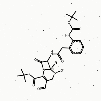 CC(C)(C)OC(=O)Nc1ccccc1CC(=O)NC1C(=O)N2C(C(=O)OC(C)(C)C)=C(C=O)C[S+]([O-])[C@@H]12